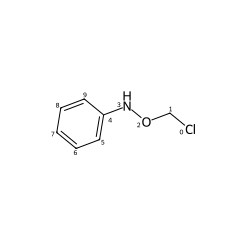 ClCONc1ccccc1